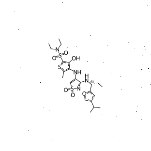 CC[C@@H](NC1=NS(=O)(=O)C=C1Nc1c(C)sc(S(=O)(=O)N(CC)CC)c1O)c1cc(C(C)C)co1